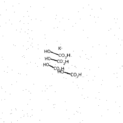 O=C(O)O.O=C(O)O.O=C(O)O.O=C(O)O.[K]